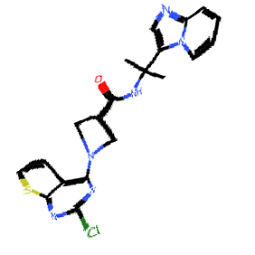 CC(C)(NC(=O)C1CN(c2nc(Cl)nc3sccc23)C1)c1cnc2ccccn12